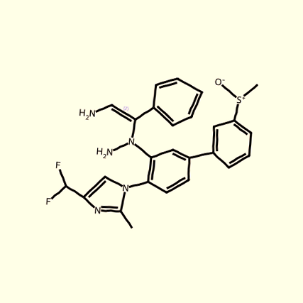 Cc1nc(C(F)F)cn1-c1ccc(-c2cccc([S+](C)[O-])c2)cc1N(N)/C(=C\N)c1ccccc1